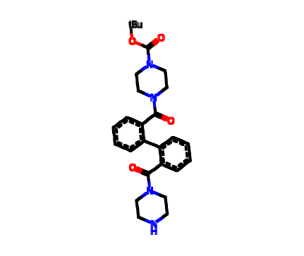 CC(C)(C)OC(=O)N1CCN(C(=O)c2ccccc2-c2ccccc2C(=O)N2CCNCC2)CC1